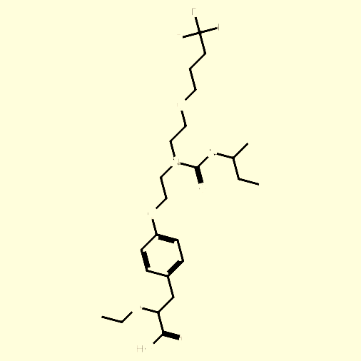 CCOC(Cc1ccc(OCCN(CCOCCCC(F)(F)F)C(=O)NC(C)CC)cc1)C(=O)O